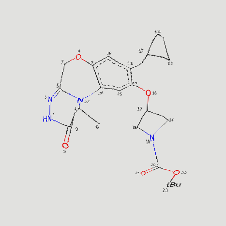 CC1C(=O)NN=C2COc3cc(C4CC4)c(OC4CN(C(=O)OC(C)(C)C)C4)cc3N21